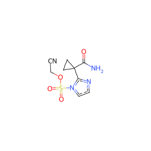 N#CCOS(=O)(=O)n1ccnc1C1(C(N)=O)CC1